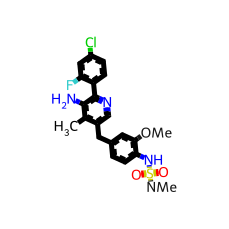 CNS(=O)(=O)Nc1ccc(Cc2cnc(-c3ccc(Cl)cc3F)c(N)c2C)cc1OC